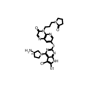 CCc1[nH]c2nc(Sc3cnc4c(c3)ncc(=O)n4CCCN3CCCC3=O)nc(N3CC[C@@H](N)C3)c2c1Cl